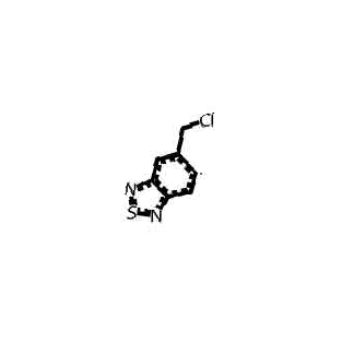 ClCc1[c]cc2nsnc2c1